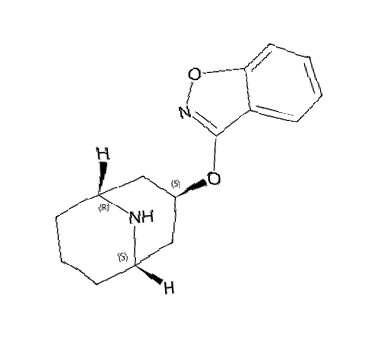 c1ccc2c(O[C@@H]3C[C@H]4CCC[C@@H](C3)N4)noc2c1